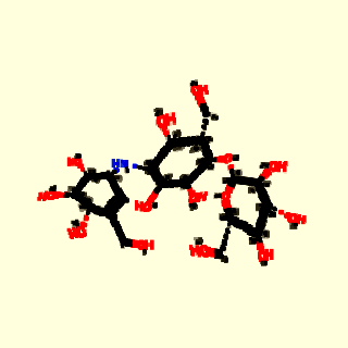 OCC1=C[C@@H](N[C@H]2[C@H](O)[C@@H](O)[C@H](O[C@H]3O[C@@H](CO)[C@H](O)[C@@H](O)[C@@H]3O)[C@@H](CO)[C@H]2O)[C@@H](O)[C@H](O)[C@H]1O